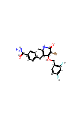 Cc1[nH]c(=O)c(Br)c(OCc2ccc(F)cc2F)c1Cc1ccc(C(N)=O)cc1